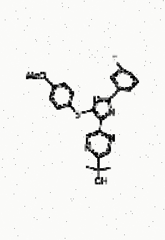 COc1ccc(Sc2oc(-c3cccc(F)c3)nc2-c2cnc(C(C)(C)O)cn2)cc1